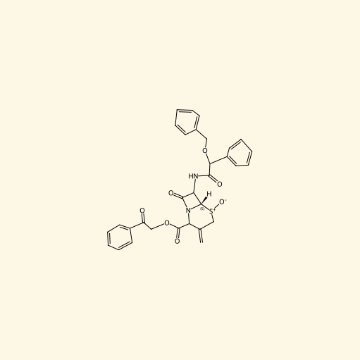 C=C1C[S+]([O-])[C@H]2C(NC(=O)C(OCc3ccccc3)c3ccccc3)C(=O)N2C1C(=O)OCC(=O)c1ccccc1